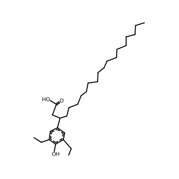 CCCCCCCCCCCCCCCCCC(CC(=O)O)c1cc(CC)c(O)c(CC)c1